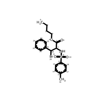 CCCCOC(=O)C(NS(=O)(=O)c1ccc(C)cc1)C(Br)c1ccccc1